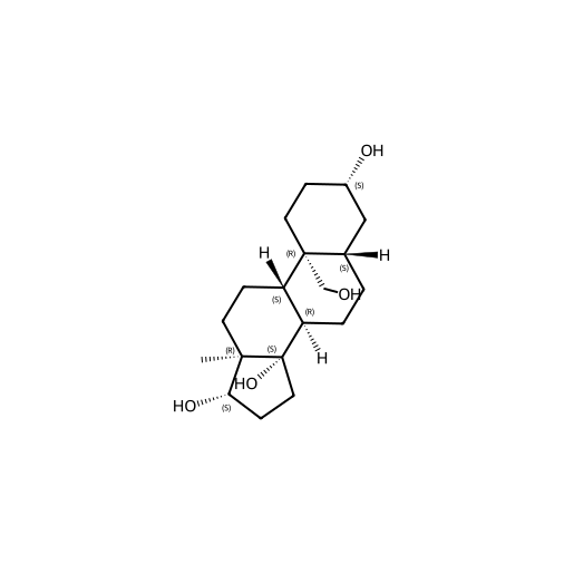 C[C@]12CC[C@H]3[C@@H](CC[C@H]4C[C@@H](O)CC[C@@]43CO)[C@@]1(O)CC[C@@H]2O